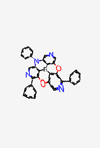 c1ccc(-c2ncc3c4c2Oc2cncc5c2B4c2c(cnc(-c4ccccc4)c2O3)N5c2ccccc2)cc1